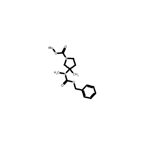 CN(C(=O)OCc1ccccc1)C1(C)CCN(C(=O)OC(C)(C)C)C1